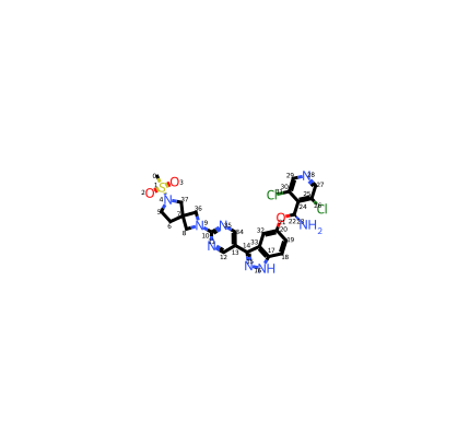 CS(=O)(=O)N1CCC2(CN(c3ncc(-c4n[nH]c5ccc(O[C@H](N)c6c(Cl)cncc6Cl)cc45)cn3)C2)C1